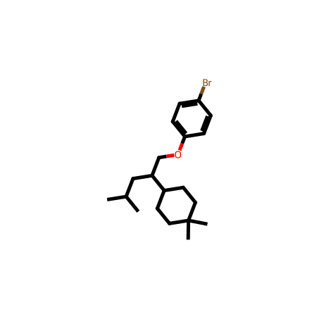 CC(C)CC(COc1ccc(Br)cc1)C1CCC(C)(C)CC1